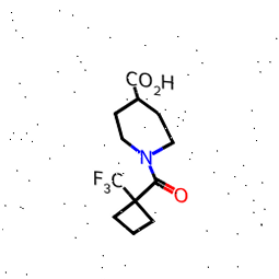 O=C(O)C1CCN(C(=O)C2(C(F)(F)F)CCC2)CC1